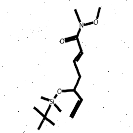 C=CC(C/C=C/C(=O)N(C)OC)O[Si](C)(C)C(C)(C)C